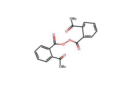 CC(C)COC(=O)c1ccccc1C(=O)OOC(=O)c1ccccc1C(=O)OCC(C)C